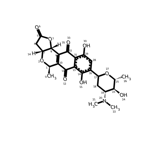 C[C@H]1O[C@@H]2CC(=O)O[C@@H]2C2=C1C(=O)c1c(O)c(C3C[C@@H](N(C)C)[C@H](O)[C@@H](C)O3)cc(O)c1C2=O